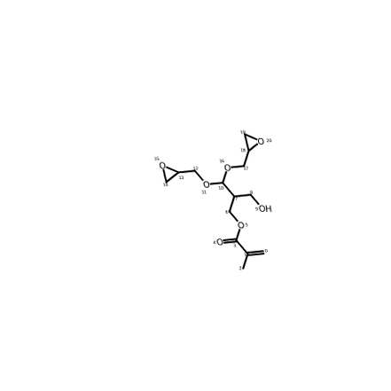 C=C(C)C(=O)OCC(CO)C(OCC1CO1)OCC1CO1